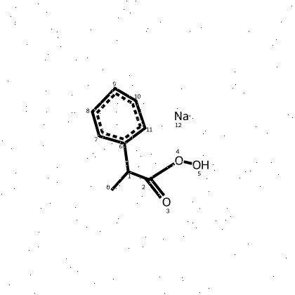 CC(C(=O)OO)c1ccccc1.[Na]